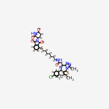 Cc1sc2c(c1C)C(c1ccc(Cl)cc1)=N[C@@H](CC(=O)NCCCCCCCSc1cccc3c1C(=O)N(C1CCC(=O)NC1=O)C3=O)c1nnc(C)n1-2